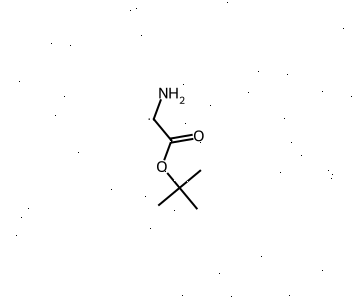 CC(C)(C)OC(=O)[CH]N